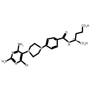 CCc1nc(N)nc(N)c1N1CCN(c2ccc(C(=O)N[C@@H](CCC(=O)O)C(=O)O)cc2)CC1